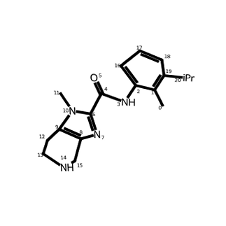 Cc1c(NC(=O)c2nc3c(n2C)CCNC3)cccc1C(C)C